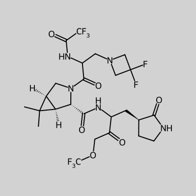 CC1(C)[C@@H]2[C@@H](C(=O)NC(C[C@@H]3CCNC3=O)C(=O)COC(F)(F)F)N(C(=O)C(CN3CC(F)(F)C3)NC(=O)C(F)(F)F)C[C@@H]21